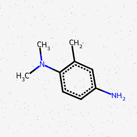 [CH2]c1cc(N)ccc1N(C)C